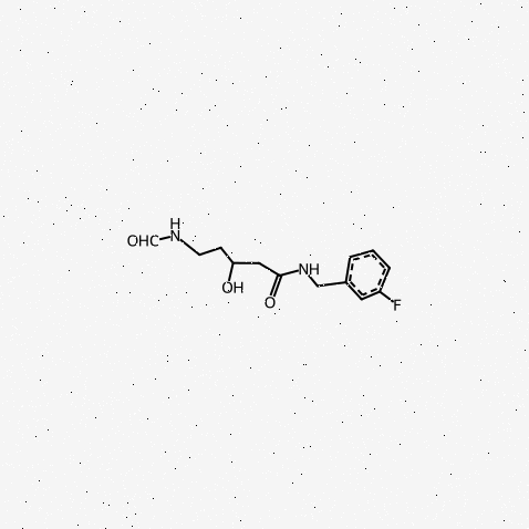 O=CNCCC(O)CC(=O)NCc1cccc(F)c1